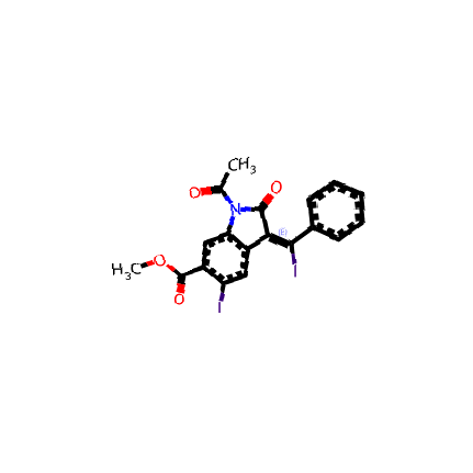 COC(=O)c1cc2c(cc1I)/C(=C(\I)c1ccccc1)C(=O)N2C(C)=O